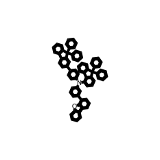 c1ccc(C2(c3ccccc3)c3ccccc3-c3ccc(-c4ccc(N(c5cccc(-c6cccc7c6oc6ccccc67)c5)c5cccc6c5-c5ccccc5C6(c5ccccc5)c5ccccc5)cc4)cc32)cc1